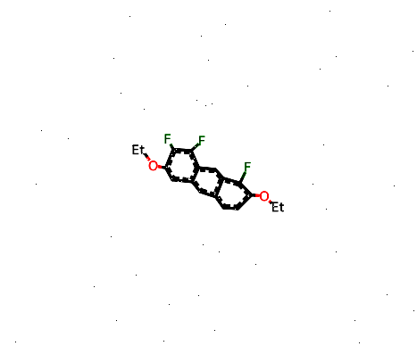 CCOc1cc2cc3ccc(OCC)c(F)c3cc2c(F)c1F